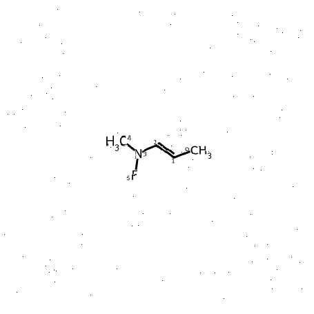 CC=CN(C)F